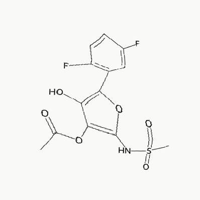 CC(=O)Oc1c(NS(C)(=O)=O)oc(-c2cc(F)ccc2F)c1O